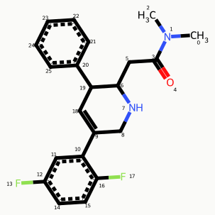 CN(C)C(=O)CC1NCC(c2cc(F)ccc2F)=CC1c1ccccc1